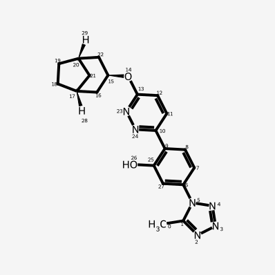 Cc1nnnn1-c1ccc(-c2ccc(O[C@H]3C[C@@H]4CC[C@@H](C4)C3)nn2)c(O)c1